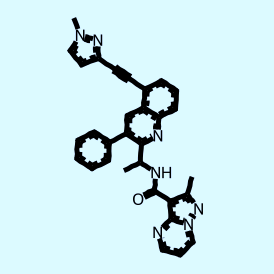 Cc1nn2cccnc2c1C(=O)NC(C)c1nc2cccc(C#Cc3ccn(C)n3)c2cc1-c1ccccc1